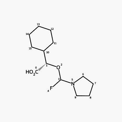 O=C(O)[C@@H](OC(F)N1CCCC1)C1CCCCC1